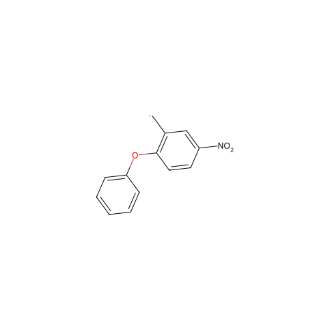 [CH2]c1cc([N+](=O)[O-])ccc1Oc1ccccc1